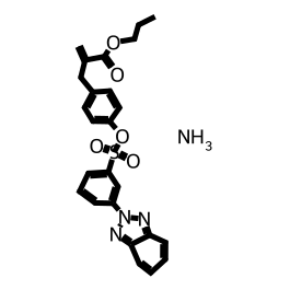 C=C(Cc1ccc(OS(=O)(=O)c2cccc(-n3nc4ccccc4n3)c2)cc1)C(=O)OCCC.N